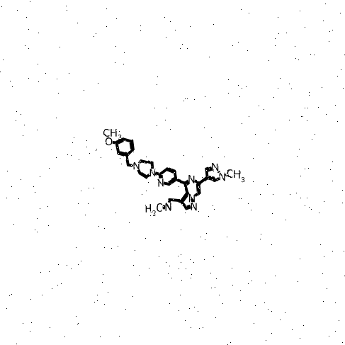 C=NCc1cnn2cc(-c3cnn(C)c3)nc(-c3ccc(N4CCN(Cc5cccc(OC)c5)CC4)nc3)c12